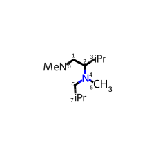 CNCC(C(C)C)N(C)CC(C)C